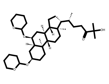 C[C@H](CCC(=O)C(C)(C)O)[C@H]1CC[C@H]2[C@@H]3C[C@H](OC4CCCCO4)[C@@H]4C[C@H](OC5CCCCO5)CC[C@]4(C)[C@H]3CC[C@]12C